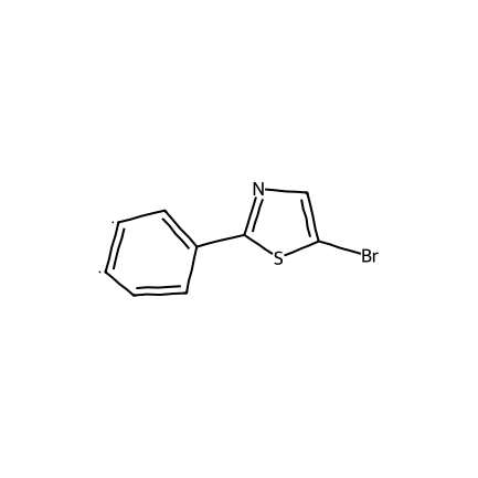 Brc1cnc(-c2c[c][c]cc2)s1